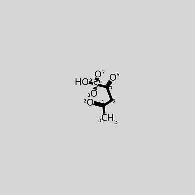 CC(=O)CC(=O)S(=O)(=O)O